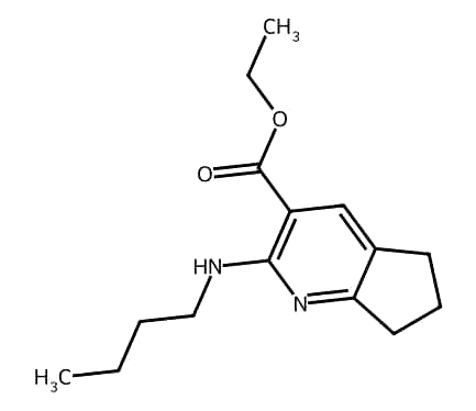 CCCCNc1nc2c(cc1C(=O)OCC)CCC2